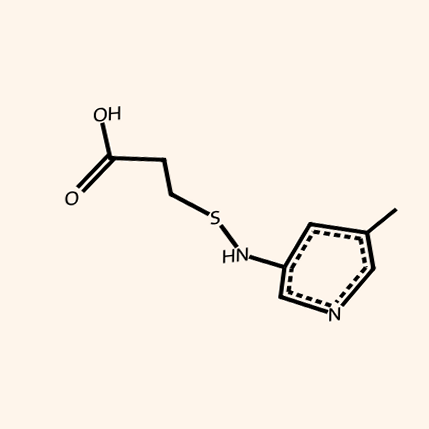 Cc1cncc(NSCCC(=O)O)c1